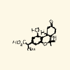 CCCCC(C(=O)O)c1cc(O)c2c(c1)OC(C)(C)[C@@H]1CCC(=O)C[C@@H]21